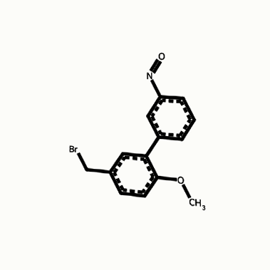 COc1ccc(CBr)cc1-c1cccc(N=O)c1